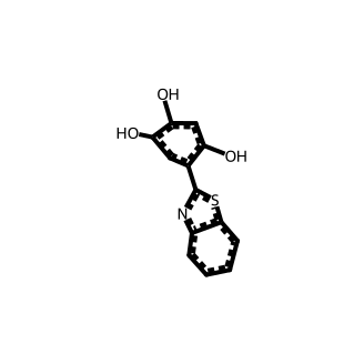 Oc1cc(O)c(-c2nc3ccccc3s2)cc1O